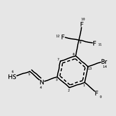 Fc1cc(N=CS)cc(C(F)(F)F)c1Br